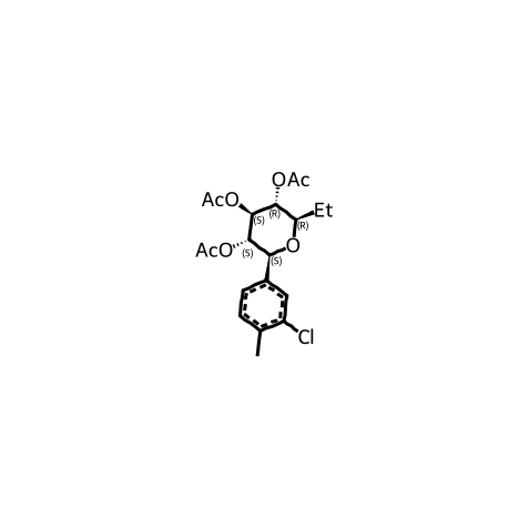 CC[C@H]1O[C@@H](c2ccc(C)c(Cl)c2)[C@H](OC(C)=O)[C@@H](OC(C)=O)[C@@H]1OC(C)=O